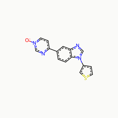 [O-][n+]1ccc(-c2ccc3c(c2)ncn3-c2ccsc2)nc1